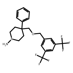 NN1CCC(COCc2cc(C(F)(F)F)cc(C(F)(F)F)c2)(c2ccccc2)CC1